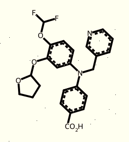 O=C(O)c1ccc(N(Cc2cccnc2)c2ccc(OC(F)F)c(OC3CCCO3)c2)cc1